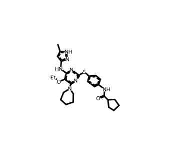 CCOc1c(Nc2cc(C)[nH]n2)nc(Sc2ccc(NC(=O)C3CCCC3)cc2)nc1N1CCCCC1